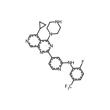 Fc1ccc(C(F)(F)F)cc1Nc1cc(-c2nc(N3CCNCC3)c3c(C4CC4)cncc3n2)ccn1